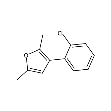 Cc1cc(-c2ccccc2Cl)c(C)o1